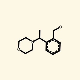 CC(c1ccccc1C[O])N1CCOCC1